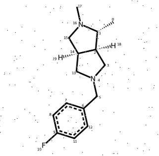 C[C@@H]1[C@H]2CN(Cc3ccc(F)cc3)C[C@H]2CN1C